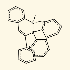 C[N+]1(C)c2ccccc2C=C(c2ccccn2)[B-]1(c1ccccn1)c1ccccn1